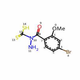 COc1cc(Br)ccc1C(=O)N(N)C(=S)S